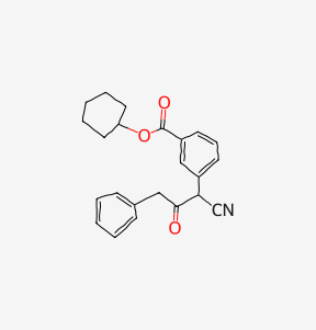 N#CC(C(=O)Cc1ccccc1)c1cccc(C(=O)OC2CCCCC2)c1